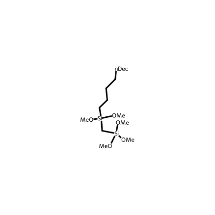 CCCCCCCCCCCCCC[Si](C[Si](OC)(OC)OC)(OC)OC